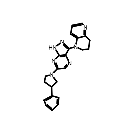 c1ccc(C2CCN(c3cnc4c(N5CCCc6ncccc65)n[nH]c4n3)C2)cc1